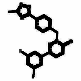 Cc1nc(-c2ccc(Cn3nc(-c4cc(F)cc(F)c4)ccc3=O)cc2)no1